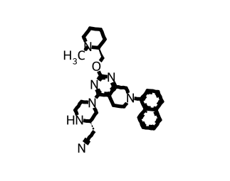 CN1CCCC[C@H]1COc1nc2c(c(N3CCN[C@@H](CC#N)C3)n1)CCN(c1cccc3ccccc13)C2